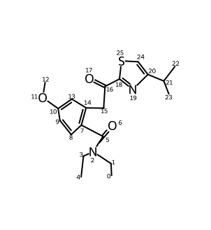 CCN(CC)C(=O)c1ccc(OC)cc1CC(=O)c1nc(C(C)C)cs1